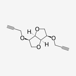 C#CCO[C@@H]1CO[C@H]2[C@@H]1OC[C@H]2OCC#C